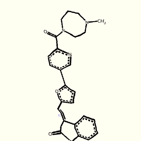 CN1CCCN(C(=O)c2ccc(-c3ccc(/C=C4/C(=O)Nc5ccccc54)o3)cn2)CC1